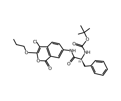 CCCOc1oc(=O)c2cc(NC(=O)[C@H](Cc3ccccc3)NC(=O)OC(C)(C)C)ccc2c1Cl